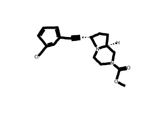 COC(=O)N1CCN2[C@@H](CC[C@H]2C#Cc2cccc(Cl)c2)C1